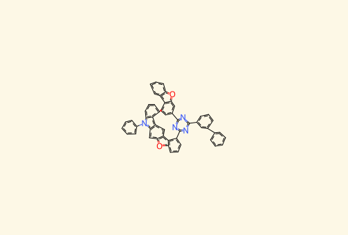 c1ccc(-c2cccc(-c3nc(-c4ccc5c(c4)oc4ccccc45)nc(-c4cccc5oc6cc7c(cc6c45)c4ccccc4n7-c4ccccc4)n3)c2)cc1